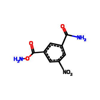 NOC(=O)c1cc(C(N)=O)cc([N+](=O)[O-])c1